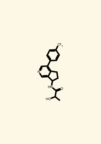 CC(O)C(=O)NC1CCc2c(-c3ccc(C(F)(F)F)cc3)cncc21